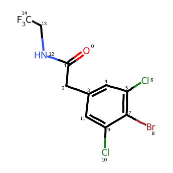 O=C(Cc1cc(Cl)c(Br)c(Cl)c1)NCC(F)(F)F